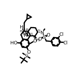 CN([C@H]1CC[C@H]2[C@H]3Cc4c(O)cc(O[Si](C)(C)C(C)(C)C)c5c4[C@@]2(CCN3CC2CC2)[C@H]1O5)S(=O)(=O)Cc1ccc(Cl)c(Cl)c1